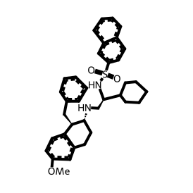 COc1ccc2c(c1)CC[C@@H](NC[C@@H](NS(=O)(=O)c1ccc3ccccc3c1)C1CCCCC1)[C@@H]2Cc1ccccc1